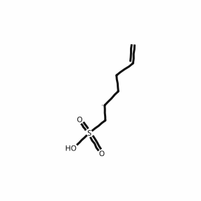 C=CCC[CH]CS(=O)(=O)O